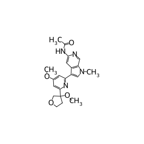 COc1cc(-c2cn(C)c3cnc(NC(C)=O)cc23)nc(C2(OC)CCOC2)c1